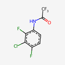 O=C(Nc1ccc(F)c(Cl)c1F)C(F)(F)F